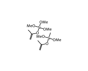 C=C(C)O[Si](C)(OC)OC.C=C(C)O[Si](OC)(OC)OC